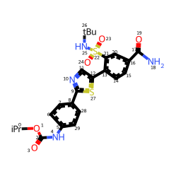 CC(C)OC(=O)Nc1ccc(-c2ncc(-c3ccc(C(N)=O)cc3S(=O)(=O)NC(C)(C)C)s2)cc1